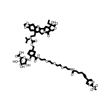 CC[C@@]1(O)C(=O)OCc2c1cc1n(c2=O)Cc2c-1nc1cc3c(cc1c2CCN(C(=O)OCc1ccc(O[C@@H]2O[C@H](C(=O)O)[C@@H](O)[C@H](O)[C@H]2O)c(C(=O)NCCOCCOCCOCCNC(=O)CCCC#Cc2cnc(S(C)(=O)=O)nc2)c1)C(C)C)OCO3